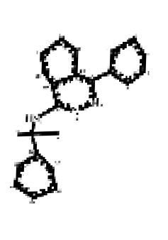 CC(C)(Nc1nnc(-c2ccccc2)c2ccccc12)c1ccccc1